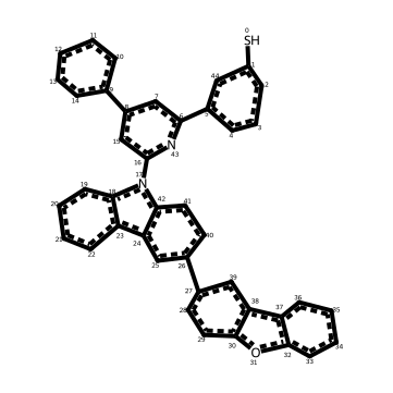 Sc1cccc(-c2cc(-c3ccccc3)cc(-n3c4ccccc4c4cc(-c5ccc6oc7ccccc7c6c5)ccc43)n2)c1